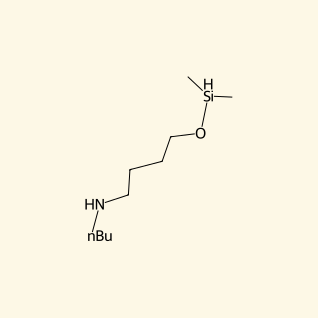 CCCCNCCCCO[SiH](C)C